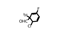 [2H]C1(C=O)C=C(F)C=CC1Cl